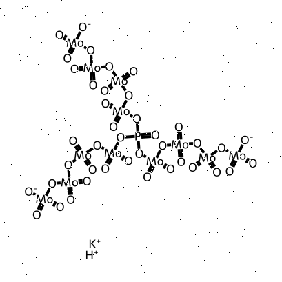 O=P([O][Mo](=[O])(=[O])[O][Mo](=[O])(=[O])[O][Mo](=[O])(=[O])[O][Mo](=[O])(=[O])[O-])([O][Mo](=[O])(=[O])[O][Mo](=[O])(=[O])[O][Mo](=[O])(=[O])[O][Mo](=[O])(=[O])[O-])[O][Mo](=[O])(=[O])[O][Mo](=[O])(=[O])[O][Mo](=[O])(=[O])[O][Mo](=[O])(=[O])[O-].[H+].[K+]